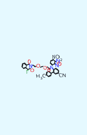 Cc1ccc(-c2cc(C#N)ccc2N(C(=O)COCCOCCN2C(=O)c3ccccc3C(F)C2=O)c2ccc([N+](=O)[O-])c3nonc23)cc1